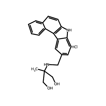 CC(CO)(CO)NCc1ccc2[nH]c3ccc4ccccc4c3c2c1.Cl